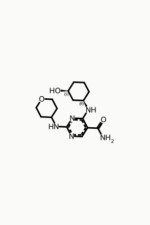 NC(=O)c1cnc(NC2CCOCC2)nc1N[C@@H]1CCC[C@H](O)C1